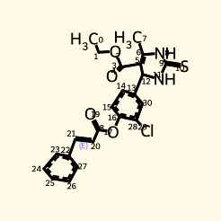 CCOC(=O)C1=C(C)NC(=S)NC1c1ccc(OC(=O)/C=C/c2ccccc2)c(Cl)c1